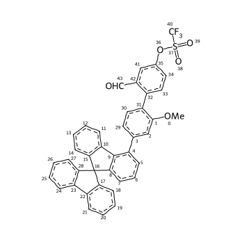 COc1cc(-c2cccc3c2-c2ccccc2C32c3ccccc3-c3ccccc32)ccc1-c1ccc(OS(=O)(=O)C(F)(F)F)cc1C=O